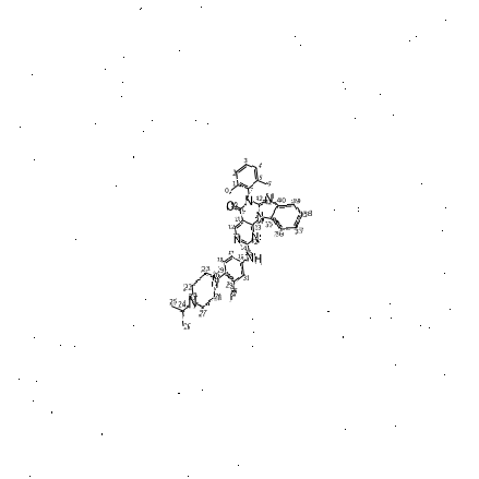 Cc1cccc(C)c1-n1c(=O)c2cnc(Nc3ccc(N4CCN(C(C)C)CC4)c(F)c3)nc2n2c3ccccc3nc12